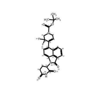 CC(C)(C)OC(=O)N1CC=C(c2ccc3c4c(cccc24)C(=O)N3C2CCC(=O)NC2=O)C(F)(F)C1